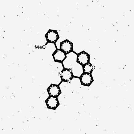 COc1ccccc1C1=CC=C(c2nc(-c3ccc4ccccc4c3)nc(-c3cccc4oc5ccc(-c6ccccc6)cc5c34)n2)CC1